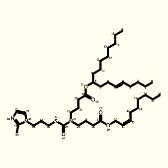 CCCC/C=C/CCC(CCCCCCCC)OC(=O)CCCN(CCCC(=O)OC/C=C\CCCCCC)C(=O)SCCCn1ccnc1C